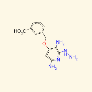 NNc1nc(N)cc(OCc2cccc(C(=O)O)c2)c1N